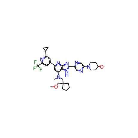 COCC1(CN(C)c2cc(-c3cc(C4CC4)nc(C(F)(F)F)c3)nc3nc(-c4cnc(N5CCC([O])CC5)cn4)[nH]c23)CCCC1